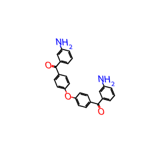 Nc1cccc(C(=O)c2ccc(Oc3ccc(C(=O)c4cccc(N)c4)cc3)cc2)c1